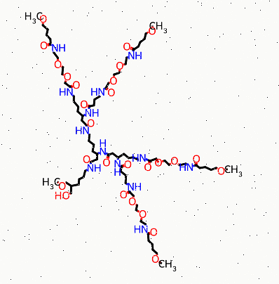 COCCCCC(=O)NCCOCCOCC(=O)NCCCCC(CC(=O)NCCCCC(CC(=O)NCCCCC(CO)COC)NC(=O)CC(CCCCNC(=O)COCCOCCNC(=O)CCCCOC)NC(=O)CCCNC(=O)COCCOCCNC(=O)CCCCOC)NC(=O)CCCNC(=O)COCCOCCNC(=O)CCCCOC